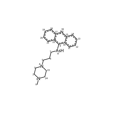 CN1CCN(CCC[AsH]c2c3ccccc3nc3ccccc23)CC1